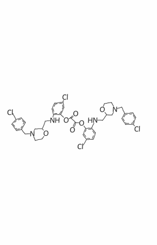 O=C(Oc1cc(Cl)ccc1NCC1CN(Cc2ccc(Cl)cc2)CCO1)C(=O)Oc1cc(Cl)ccc1NCC1CN(Cc2ccc(Cl)cc2)CCO1